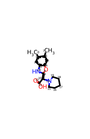 Cc1cc2c(cc1C)OC(=C(C(=O)O)N1CCCCC1)N2